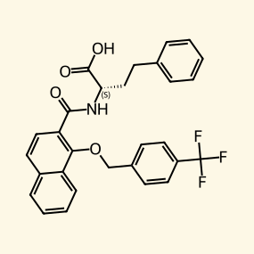 O=C(N[C@@H](CCc1ccccc1)C(=O)O)c1ccc2ccccc2c1OCc1ccc(C(F)(F)F)cc1